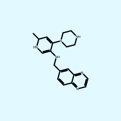 CC1C=C(N2CCNCC2)C(NCc2ccc3nccnc3c2)=CN1